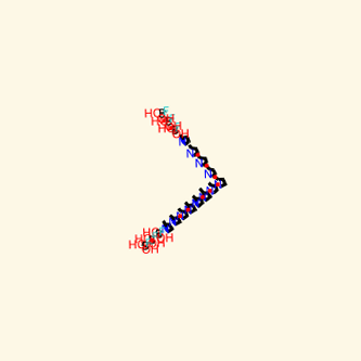 CC1=NCCC1.CC1=NCCC1.CC1=NCCC1.CC1=NCCC1.CC1=NCCC1.CC1=NCCC1.CC1=NCCC1.CC1=NCCC1.CC1=NCCC1.CC1=NCCC1.CC1=NCCC1.CC1=NCCC1.OB(O)F.OB(O)F.OB(O)F.OB(O)F.OB(O)F.OB(O)F